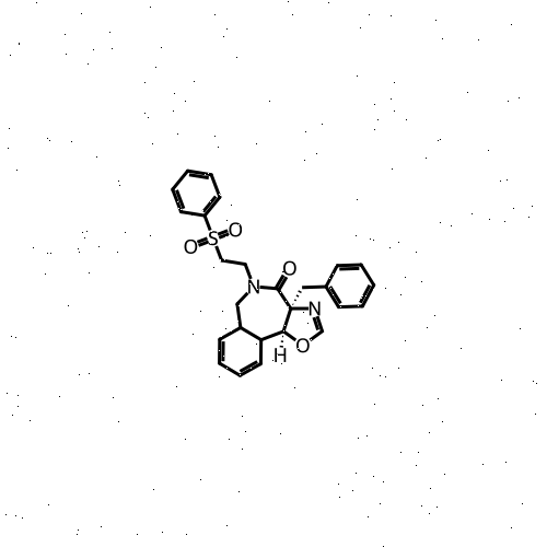 O=C1N(CCS(=O)(=O)c2ccccc2)CC2C=CC=CC2[C@@H]2OC=N[C@]12Cc1ccccc1